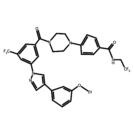 CCOc1cccc(-c2cnn(-c3cc(C(=O)N4CCN(c5ccc(C(=O)NCC(F)(F)F)cc5)CC4)cc(C(F)(F)F)c3)c2)c1